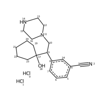 Cl.Cl.N#Cc1cccc(C(CN2CCNCC2)C2(O)CCCCC2)c1